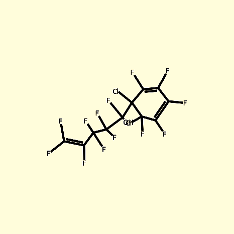 OC(F)(C(F)(F)C(F)(F)C(F)=C(F)F)C1(Cl)C(F)=C(F)C(F)=C(F)C1(F)Cl